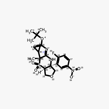 CC(C)(C)OC(=O)/N=C1/N[C@@]2(c3cc([N+](=O)[O-])ccc3F)COC[C@H]2S(=O)(=O)[C@]1(C)C1CC1